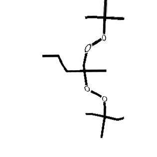 CC[CH]C(C)(OOC(C)(C)C)OOC(C)(C)C